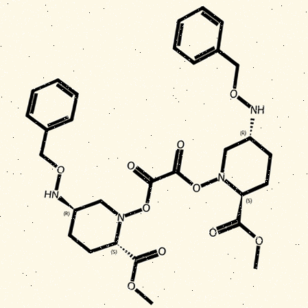 COC(=O)[C@@H]1CC[C@@H](NOCc2ccccc2)CN1OC(=O)C(=O)ON1C[C@H](NOCc2ccccc2)CC[C@H]1C(=O)OC